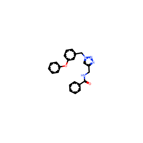 O=C(NCc1cn(Cc2cccc(Oc3ccccc3)c2)nn1)c1ccccc1